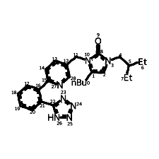 CCCCc1cn(CC(CC)CC)c(=O)n1Cc1ccc(-c2ccccc2-c2nnn[nH]2)nc1